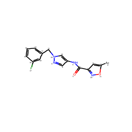 CC(=O)c1cc(C(=O)Nc2cnn(Cc3cccc(F)c3)c2)no1